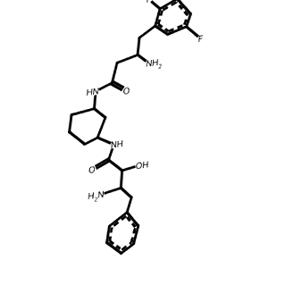 NC(CC(=O)NC1CCCC(NC(=O)C(O)C(N)Cc2ccccc2)C1)Cc1cc(F)ccc1F